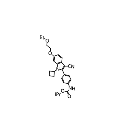 CCOCCOc1ccc2c(C#N)c(-c3ccc(NC(=O)OC(C)C)cc3)n(C3CCC3)c2c1